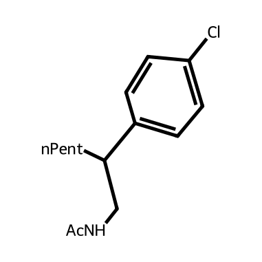 CCCCCC(CNC(C)=O)c1ccc(Cl)cc1